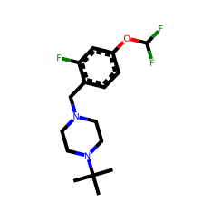 CC(C)(C)N1CCN(Cc2ccc(OC(F)F)cc2F)CC1